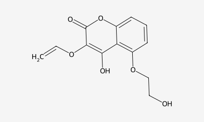 C=COc1c(O)c2c(OCCO)cccc2oc1=O